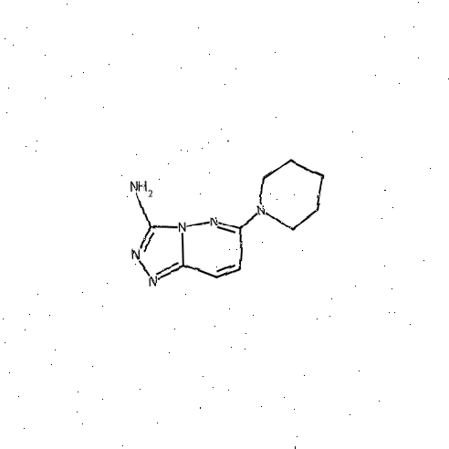 Nc1nnc2ccc(N3CCCCC3)nn12